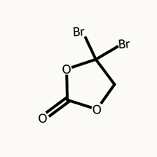 O=C1OCC(Br)(Br)O1